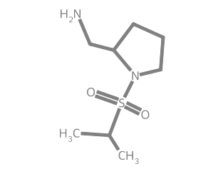 CC(C)S(=O)(=O)N1CCCC1CN